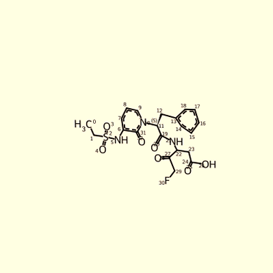 CCS(=O)(=O)Nc1cccn([C@@H](Cc2ccccc2)C(=O)NC(CC(=O)O)C(=O)CF)c1=O